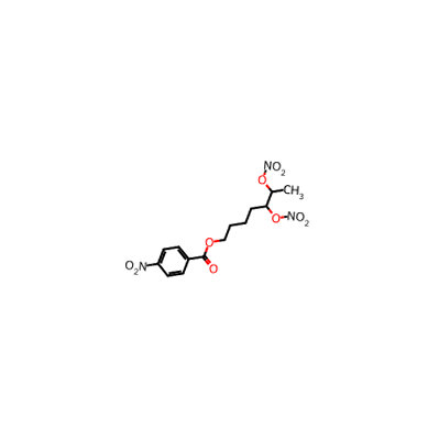 CC(O[N+](=O)[O-])C(CCCCOC(=O)c1ccc([N+](=O)[O-])cc1)O[N+](=O)[O-]